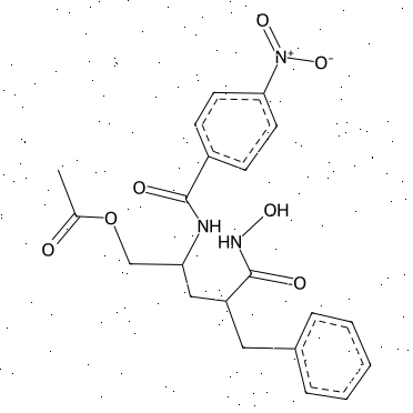 CC(=O)OCC(CC(Cc1ccccc1)C(=O)NO)NC(=O)c1ccc([N+](=O)[O-])cc1